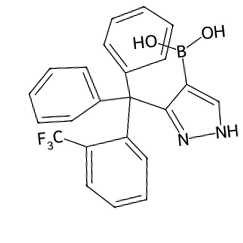 OB(O)c1c[nH]nc1C(c1ccccc1)(c1ccccc1)c1ccccc1C(F)(F)F